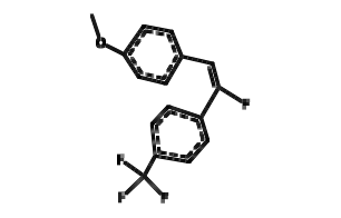 COc1ccc(/C=C(/F)c2ccc(C(F)(F)F)cc2)cc1